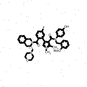 COc1ccccc1CN(C(=O)c1c(-c2cc(F)ccc2C(=O)N2Cc3ccccc3C[C@H]2CN2CCOCC2)cn(C)c1C)c1ccc(O)cc1